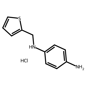 Cl.Nc1ccc(NCc2cccs2)cc1